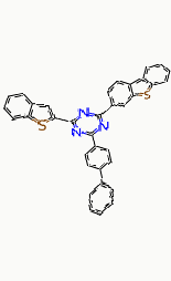 c1ccc(-c2ccc(-c3nc(-c4ccc5c(c4)sc4ccccc45)nc(-c4cc5ccccc5s4)n3)cc2)cc1